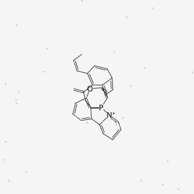 C=C1CCP23(C)c4c(cccc4-c4cccc[n+]42)Oc2ccc4ccc(/C=C\C)c1c4c23